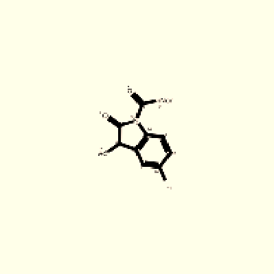 CCCCCCCCCC(=O)N1C(=O)C(C(C)=O)c2cc(F)ccc21